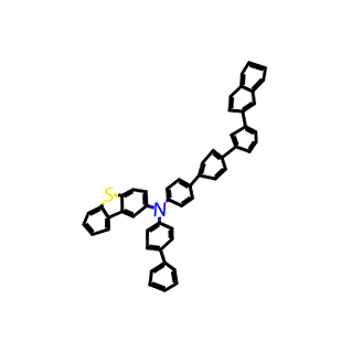 c1ccc(-c2ccc(N(c3ccc(-c4ccc(-c5cccc(-c6ccc7ccccc7c6)c5)cc4)cc3)c3ccc4sc5ccccc5c4c3)cc2)cc1